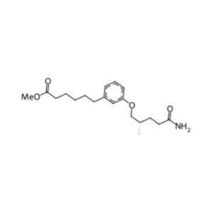 COC(=O)CCCCCc1cccc(OC[C@@H](C)CCC(N)=O)c1